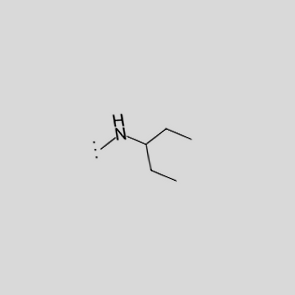 [C]NC(CC)CC